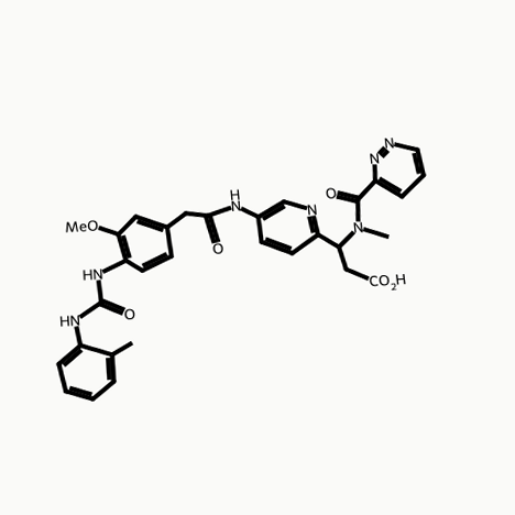 COc1cc(CC(=O)Nc2ccc(C(CC(=O)O)N(C)C(=O)c3cccnn3)nc2)ccc1NC(=O)Nc1ccccc1C